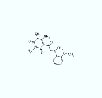 COc1ccccc1N(C)CC(=O)c1c(N)n(C)c(=O)n(C)c1=O